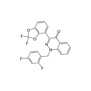 O=c1c(-c2cccc3c2OC(F)(F)O3)nn(Cc2ccc(F)cc2F)c2ccccc12